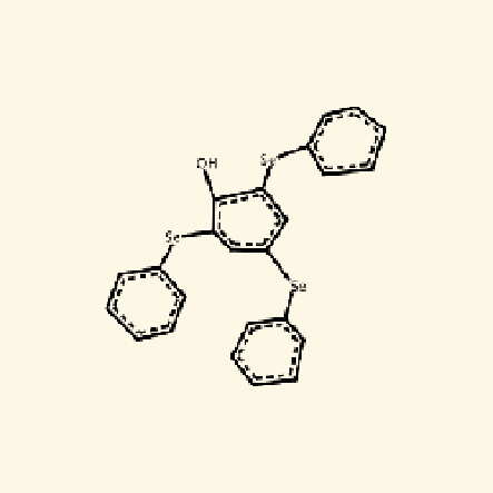 Oc1c([Se]c2ccccc2)cc([Se]c2ccccc2)cc1[Se]c1ccccc1